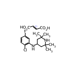 CC1(C)CC(Nc2cc(F)ccc2Cl)CC(C)(C)N1.O=C(O)/C=C/C(=O)O